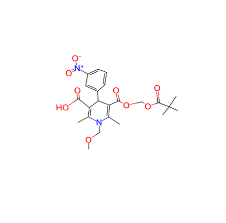 COCN1C(C)=C(C(=O)O)C(c2cccc([N+](=O)[O-])c2)C(C(=O)OCOC(=O)C(C)(C)C)=C1C